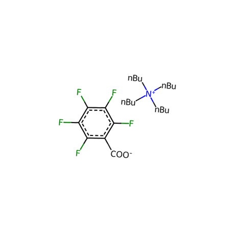 CCCC[N+](CCCC)(CCCC)CCCC.O=C([O-])c1c(F)c(F)c(F)c(F)c1F